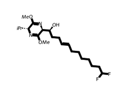 COC1=N[C@H](C(C)C)C(OC)=N[C@H]1[C@@H](O)CC/C=C/CCCCCCC(F)F